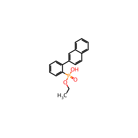 CCOP(=O)(O)c1ccccc1-c1ccc2ccccc2c1